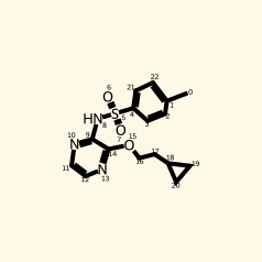 Cc1ccc(S(=O)(=O)Nc2nccnc2OCCC2CC2)cc1